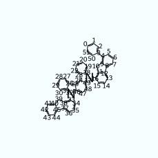 c1ccc(-c2cccc3c2Cc2c-3cccc2-n2c3ccccc3c3c4c5ccccc5n(-c5cccc6c5Cc5ccccc5-6)c4ccc32)cc1